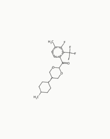 Cc1ccc(C(=O)C2OCC(C3CCC(C)CC3)CO2)c(C(F)(F)F)c1F